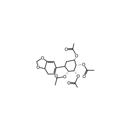 CC(=O)O[C@@H]1[C@H](OC(C)=O)[C@H](OC(C)=O)C(C2=CCC3OCOC3=C2)C[C@@H]1OC(C)=O